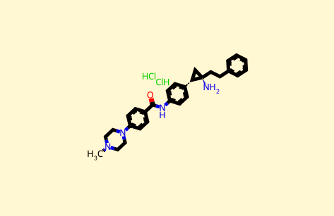 CN1CCN(c2ccc(C(=O)Nc3ccc([C@@H]4C[C@@]4(N)CCc4ccccc4)cc3)cc2)CC1.Cl.Cl